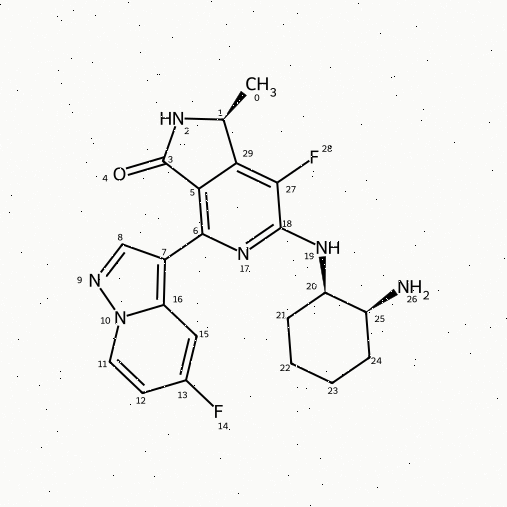 C[C@@H]1NC(=O)c2c(-c3cnn4ccc(F)cc34)nc(N[C@@H]3CCCC[C@@H]3N)c(F)c21